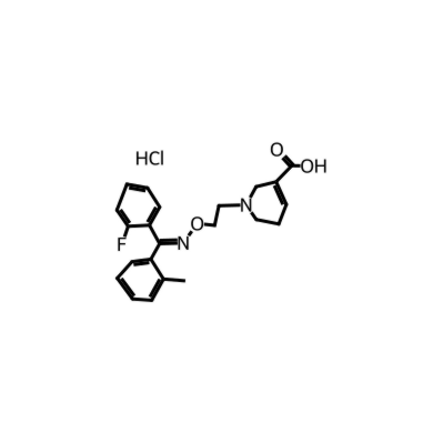 Cc1ccccc1C(=NOCCN1CCC=C(C(=O)O)C1)c1ccccc1F.Cl